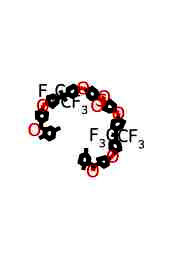 Cc1ccc(C)c(C(=O)c2ccc(Oc3ccc(C(c4ccc(Oc5ccc(S(=O)(=O)c6ccc(Oc7ccc(C(c8ccc(Oc9ccc(C(=O)c%10cc(C)ccc%10C)cc9)cc8)(C(F)(F)F)C(F)(F)F)cc7)cc6)cc5)cc4)(C(F)(F)F)C(F)(F)F)cc3)cc2)c1